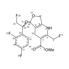 COC(=O)C1=C(CF)NC2=C(C(=O)OC2)[C@H]1c1cc(F)cc(F)c1[C@H](F)CF